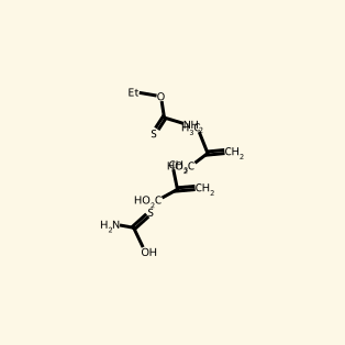 C=C(C)C(=O)O.C=C(C)C(=O)O.CCOC(N)=S.NC(O)=S